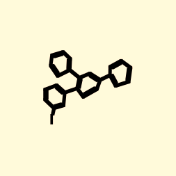 Ic1cccc(-c2ccc(-c3ccccc3)cc2-c2ccccc2)c1